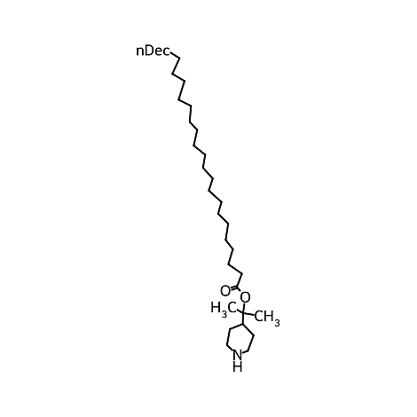 CCCCCCCCCCCCCCCCCCCCCCCCCCCCCC(=O)OC(C)(C)C1CCNCC1